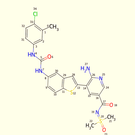 Cc1cc(NC(=O)Nc2ccc3sc(-c4cc(C(=O)N=S(C)(C)=O)cnc4N)cc3c2)ccc1Cl